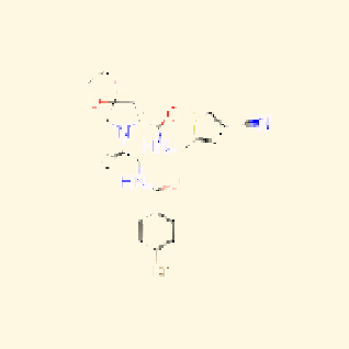 C=C(CNC(=O)c1ccc(Br)cc1)N1CC2(C[C@H]1C(=O)NCc1cc(C#N)cs1)OCCO2